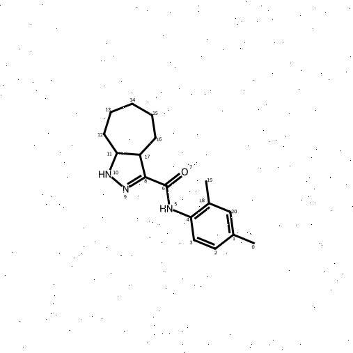 Cc1ccc(NC(=O)C2=NNC3CCCCCC23)c(C)c1